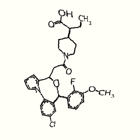 CCC(C(=O)O)C1CCN(C(=O)CC2OC(c3cccc(OC)c3F)c3cc(Cl)ccc3-n3cccc32)CC1